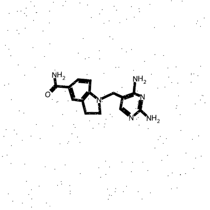 NC(=O)c1ccc2c(c1)CCN2Cc1cnc(N)nc1N